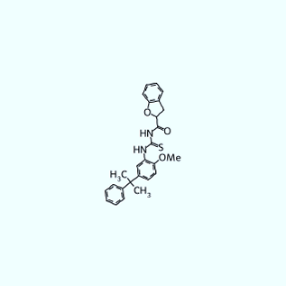 COc1ccc(C(C)(C)c2ccccc2)cc1NC(=S)NC(=O)C1Cc2ccccc2O1